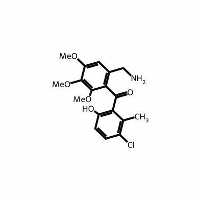 COc1cc(CN)c(C(=O)c2c(O)ccc(Cl)c2C)c(OC)c1OC